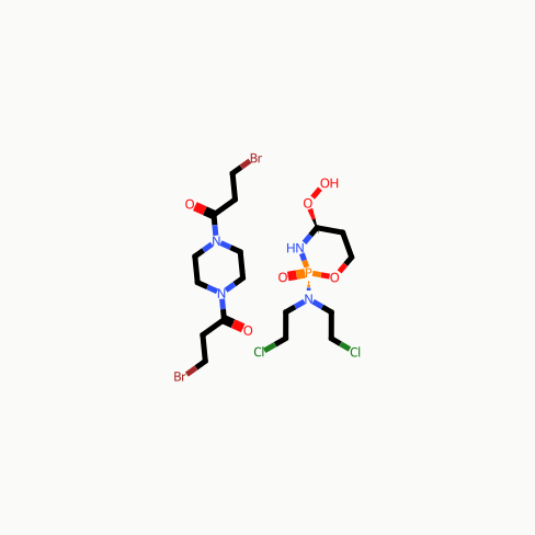 O=C(CCBr)N1CCN(C(=O)CCBr)CC1.O=[P@@]1(N(CCCl)CCCl)N[C@@H](OO)CCO1